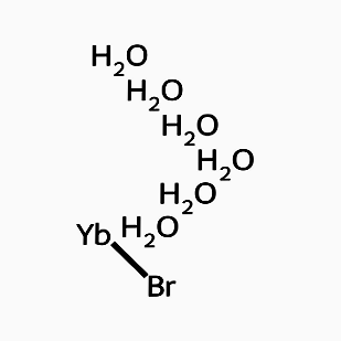 O.O.O.O.O.O.[Br][Yb]